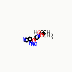 CC(C)(C)OC(=O)N1CCC(Oc2ccc3cnccc3c2N=[N+]=[N-])CC1